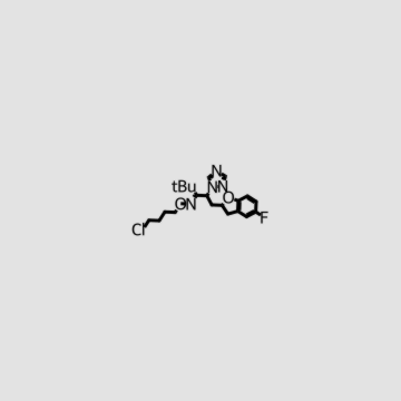 CC(C)(C)C(=NOCCCCCl)C(CC1Cc2cc(F)ccc2O1)n1cncn1